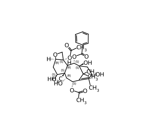 CC(=O)O[C@H]1C2=C(C)[C@@H](O)C[C@@](O)([C@@H](OC(=O)c3ccccc3)[C@@H]3[C@]4(OC(C)=O)CO[C@@H]4C[C@H](O)[C@@]3(C)[C@H]1O)C2(C)C